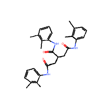 Cc1cccc(NC(=O)CC(CC(=O)Nc2cccc(C)c2C)C(=O)Nc2cccc(C)c2C)c1C